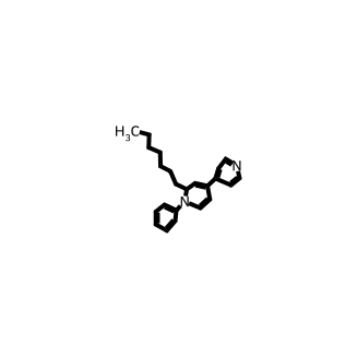 CCCCCCCC1C=C(c2ccncc2)C=CN1c1ccccc1